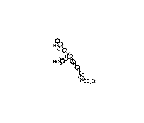 CCOC(=O)OC(C)OC(=O)CCN1CCC(N2CCN(C(=O)[C@@H](Cc3cc(C)c(O)c(C)c3)OC(=O)N3CCC(N4CCc5ccccc5NC4=O)CC3)CC2)CC1